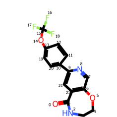 O=C1NCCOc2cnc(-c3ccc(OC(F)(F)F)cc3)cc21